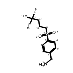 NCc1ccc(S(=O)(=O)CCCC(F)(F)F)cc1